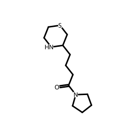 O=C(CCCC1CSCCN1)N1CCCC1